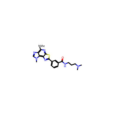 CNc1nc2sc(-c3cccc(C(=O)NCCCN(C)C)c3)nc2c2c1ncn2C